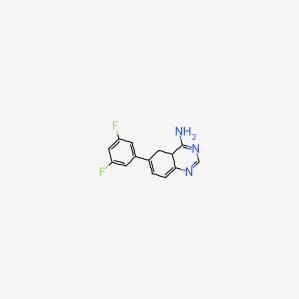 NC1=NC=NC2=CC=C(c3cc(F)cc(F)c3)CC21